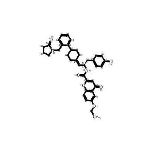 CCOc1ccc2oc(C(=O)N[C@@H](C=C3CCC(c4ccccc4CN4CCCC4=O)CC3)Cc3ccc(Cl)cc3)cc(=O)c2c1